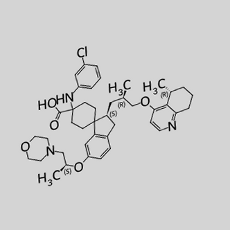 C[C@@H](COc1ccnc2c1[C@H](C)CCC2)C[C@H]1Cc2ccc(O[C@@H](C)CN3CCOCC3)cc2C12CCC(Nc1cccc(Cl)c1)(C(=O)O)CC2